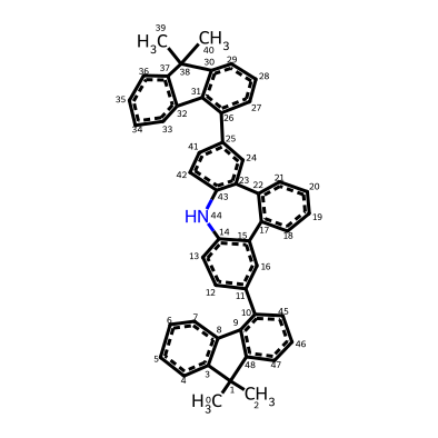 CC1(C)c2ccccc2-c2c(-c3ccc4c(c3)-c3ccccc3-c3cc(-c5cccc6c5-c5ccccc5C6(C)C)ccc3N4)cccc21